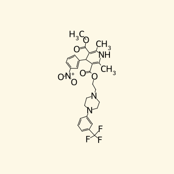 COC(=O)C1=C(C)NC(C)=C(C(=O)OCCN2CCN(c3cccc(C(F)(F)F)c3)CC2)C1c1cccc([N+](=O)[O-])c1